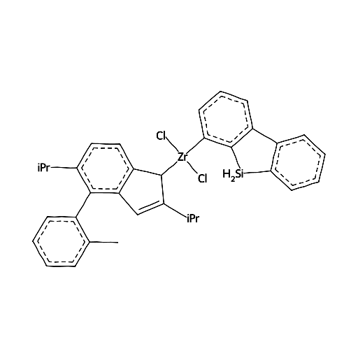 Cc1ccccc1-c1c(C(C)C)ccc2c1C=C(C(C)C)[CH]2[Zr]([Cl])([Cl])[c]1cccc2c1[SiH2]c1ccccc1-2